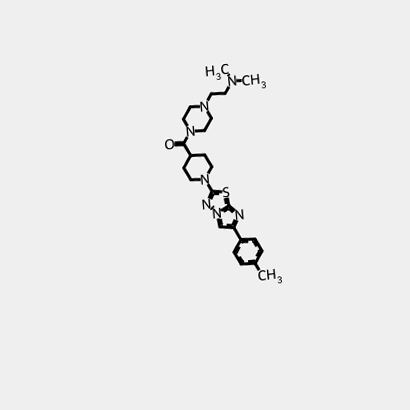 Cc1ccc(-c2cn3nc(N4CCC(C(=O)N5CCN(CCN(C)C)CC5)CC4)sc3n2)cc1